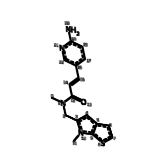 CN(Cc1cc2ccsc2n1C)C(=O)C=Cc1ccc(N)nc1